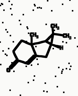 CC12CCC(=O)C=C1C[C@@H]1C2C1(C)C